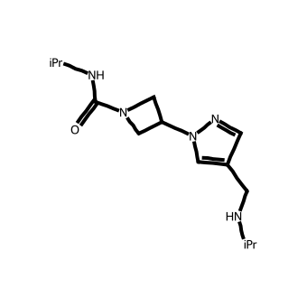 CC(C)NCc1cnn(C2CN(C(=O)NC(C)C)C2)c1